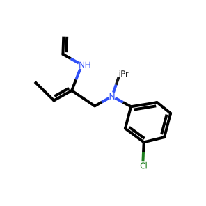 C=CN/C(=C\C)CN(c1cccc(Cl)c1)C(C)C